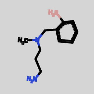 Bc1ccccc1CN(C)CCCN